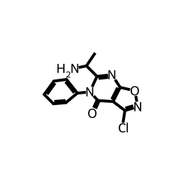 CC(N)c1nc2onc(Cl)c2c(=O)n1-c1ccccc1